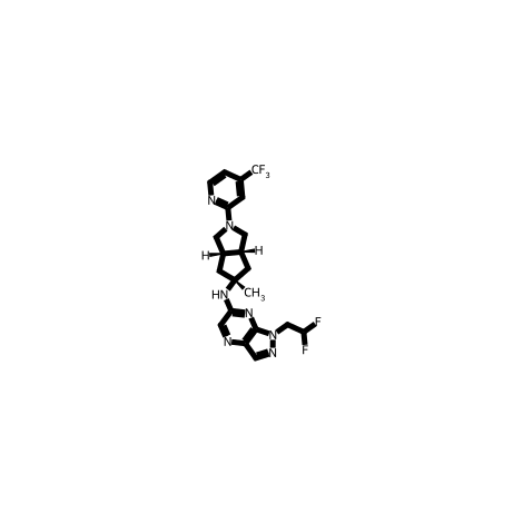 C[C@]1(Nc2cnc3cnn(CC(F)F)c3n2)C[C@H]2CN(c3cc(C(F)(F)F)ccn3)C[C@H]2C1